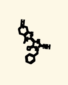 CN1C2=C(CNCC2)S/C1=C1\SC(=N)N(Cc2ccccc2)C1=O